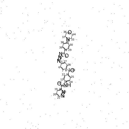 O=C(N=[N+]=Nc1ccc(C(=O)c2ccc(NC(=O)c3cccnn3)cc2)cc1)c1ccc(N2CCOCC2)cc1